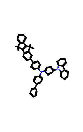 CC1(C)C2=C(c3ccccc31)C(C)(C)c1cc(-c3ccc(N(c4ccc(-c5ccccc5)cc4)c4ccc(-n5c6ccccc6c6ccccc65)cc4)cc3)ccc12